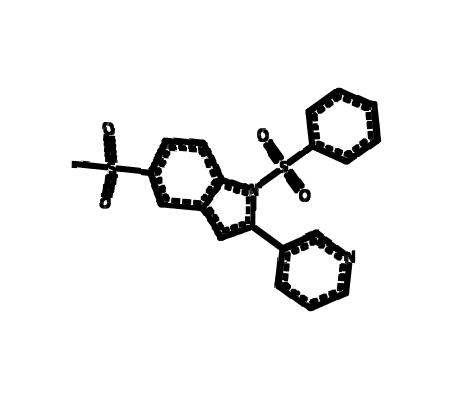 CS(=O)(=O)c1ccc2c(c1)cc(-c1cccnc1)n2S(=O)(=O)c1ccccc1